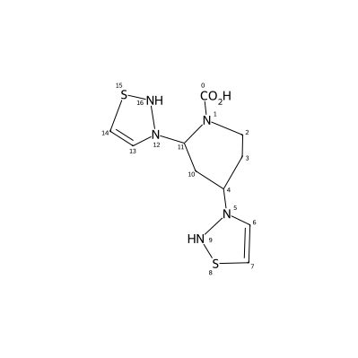 O=C(O)N1CCC(N2C=CSN2)CC1N1C=CSN1